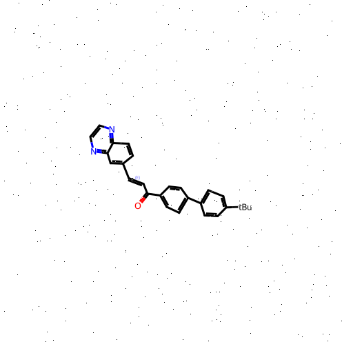 CC(C)(C)c1ccc(-c2ccc(C(=O)/C=C/c3ccc4nccnc4c3)cc2)cc1